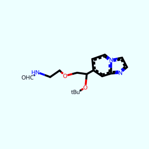 CC(C)(C)OC(COCCNC=O)c1ccn2ccnc2c1